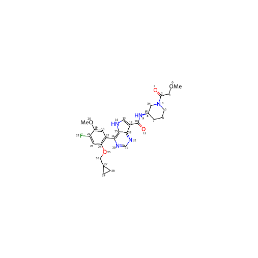 COCC(=O)N1CCC[C@@H](NC(=O)c2c[nH]c3c(-c4cc(OC)c(F)cc4OCC4CC4)ncnc23)C1